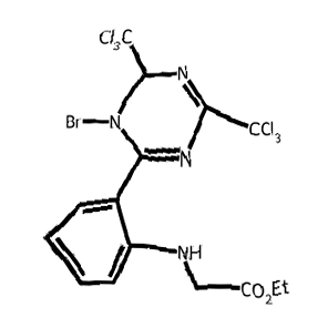 CCOC(=O)CNc1ccccc1C1=NC(C(Cl)(Cl)Cl)=NC(C(Cl)(Cl)Cl)N1Br